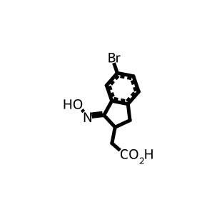 O=C(O)CC1Cc2ccc(Br)cc2/C1=N\O